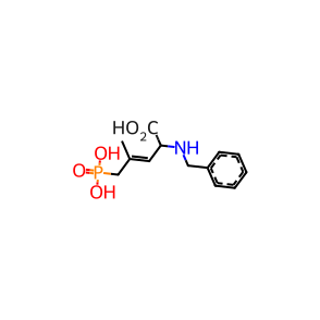 C/C(=C\C(NCc1ccccc1)C(=O)O)CP(=O)(O)O